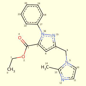 CCOC(=O)c1cc(Cn2ccnc2C)nn1-c1ccccc1